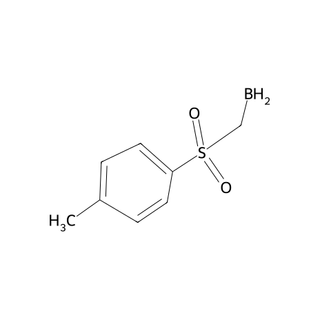 BCS(=O)(=O)c1ccc(C)cc1